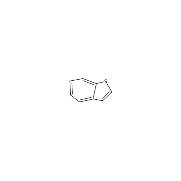 [c]1ccc2sccc2c1